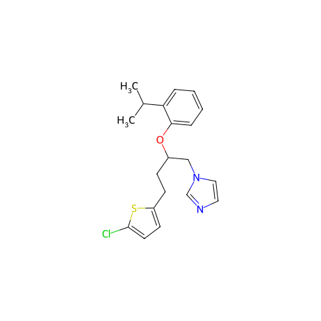 CC(C)c1ccccc1OC(CCc1ccc(Cl)s1)Cn1ccnc1